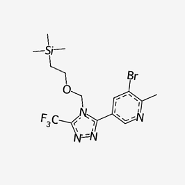 Cc1ncc(-c2nnc(C(F)(F)F)n2COCC[Si](C)(C)C)cc1Br